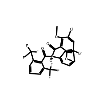 COc1c(Cl)cc(Br)c(OC)c1C(=O)P(=O)(C(=O)c1c(C(F)(F)F)cccc1C(F)(F)F)c1ccccc1